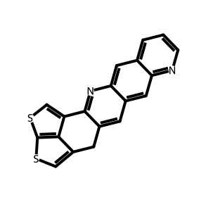 c1cnc2cc3cc4c(nc3cc2c1)-c1csc2scc(c12)C4